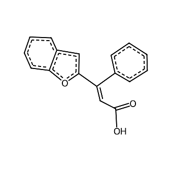 O=C(O)C=C(c1ccccc1)c1cc2ccccc2o1